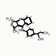 CCC(O)c1ccc(Nc2c3ccccc3nc3c2c(C)nn3C)cc1